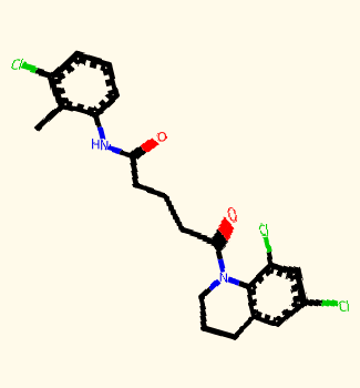 Cc1c(Cl)cccc1NC(=O)CCCC(=O)N1CCCc2cc(Cl)cc(Cl)c21